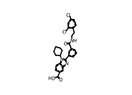 O=C(O)c1ccc2c(c1)nc(-c1cccc(C(=O)NCCc3ccc(Cl)cc3Cl)c1)n2C1CCCCC1